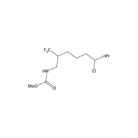 CCCC(Cl)CCCC(CNC(=O)OC)C(F)(F)F